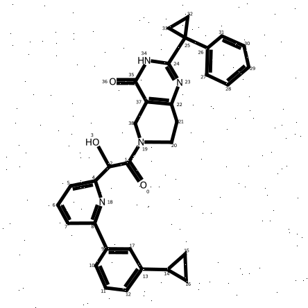 O=C(C(O)c1cccc(-c2cccc(C3CC3)c2)n1)N1CCc2nc(C3(c4ccccc4)CC3)[nH]c(=O)c2C1